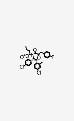 CCC[C@H](OC=O)N1C(=O)[C@@H](Cc2ccc(F)cc2)O[C@H](c2ccc(Cl)cc2C)[C@@H]1c1ccc(Cl)cc1